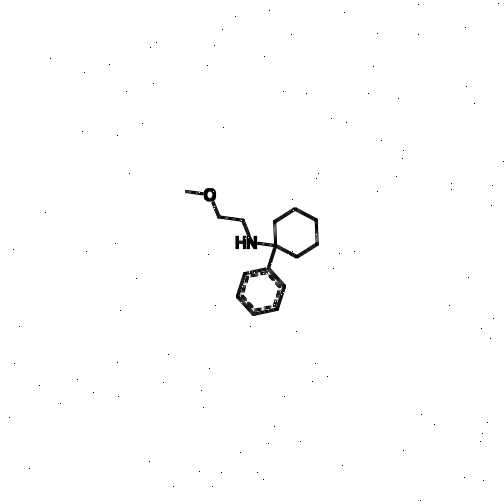 COCCNC1(c2ccccc2)CCCCC1